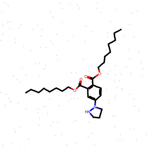 CCCCCCCCOC(=O)c1ccc(N2CCCN2)cc1C(=O)OCCCCCCCC